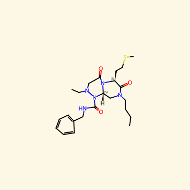 CCCCN1C[C@H]2N(C(=O)CN(CC)N2C(=O)NCc2ccccc2)[C@@H](CCSC)C1=O